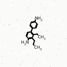 CCCc1c(N)ccc(-c2ccc(N)cc2)c1CC